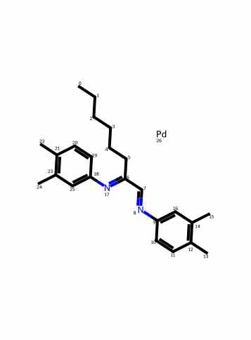 CCCCCCC(C=Nc1ccc(C)c(C)c1)=Nc1ccc(C)c(C)c1.[Pd]